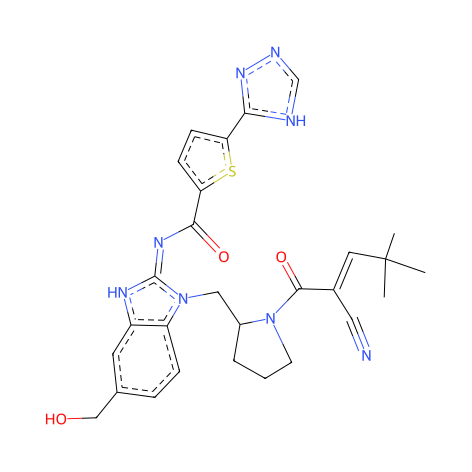 CC(C)(C)C=C(C#N)C(=O)N1CCCC1Cn1c(=NC(=O)c2ccc(-c3nnc[nH]3)s2)[nH]c2cc(CO)ccc21